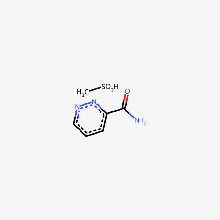 CS(=O)(=O)O.NC(=O)c1cccnn1